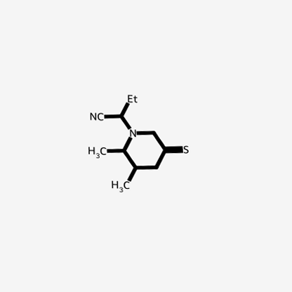 CCC(C#N)N1CC(=S)CC(C)C1C